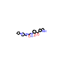 COc1c(NCC(=O)NCC2CCN(C3CCCC3)CC2)cccc1C(=O)c1ccc2cc[nH]c2c1